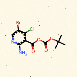 CC(C)(C)OC(=O)OC(=O)c1c(N)ncc(Br)c1Cl